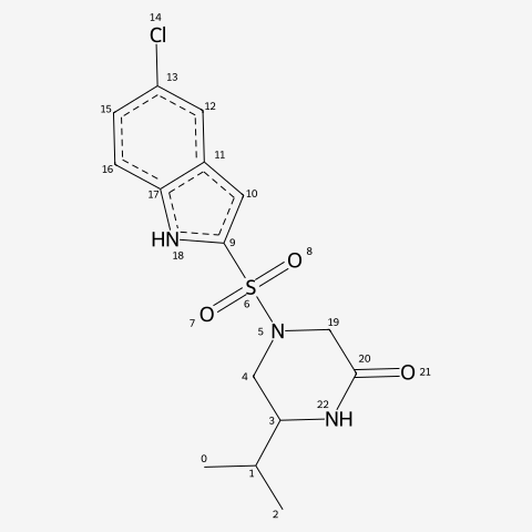 CC(C)C1CN(S(=O)(=O)c2cc3cc(Cl)ccc3[nH]2)CC(=O)N1